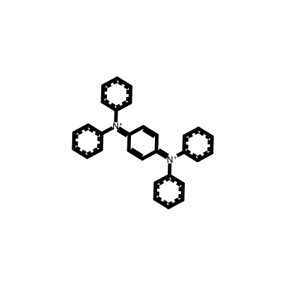 C1=CC(=[N+](c2ccccc2)c2ccccc2)C=CC1=[N+](c1ccccc1)c1ccccc1